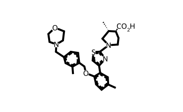 Cc1ccc(OCc2ccc(CN3CCOCC3)cc2C)c(-c2csc(N3CC[C@@H](C(=O)O)[C@@H](C)C3)n2)c1